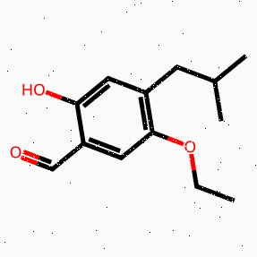 CCOc1cc(C=O)c(O)cc1CC(C)C